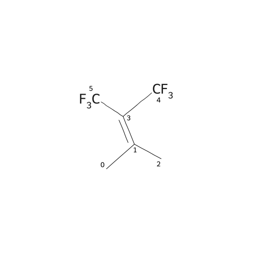 CC(C)=C(C(F)(F)F)C(F)(F)F